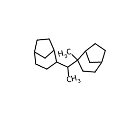 CC(C1CCC2CCC1C2)C1(C)CCC2CCC1C2